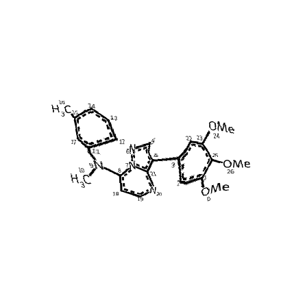 COc1cc(-c2cnn3c(N(C)c4cccc(C)c4)ccnc23)cc(OC)c1OC